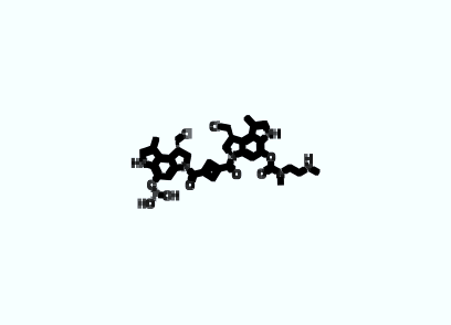 CNCCN(C)C(=O)Oc1cc2c(c3c(C)c[nH]c13)[C@H](CCl)CN2C(=O)C12CC(C(=O)N3C[C@@H](CCl)c4c3cc(OP(O)O)c3[nH]cc(C)c43)(C1)C2